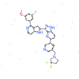 COc1cc(F)cc(-c2nccc3[nH]c(-c4n[nH]c5ccc(-c6cncc(CN7CCC(F)(F)C7)c6)nc45)cc23)c1